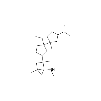 CCC1(C2(C)CCC(C(C)C)C2)CCC(C2(C)CC3(C)CC32NC)C1